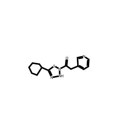 O=C(Cc1cccnc1)N1NN=C(C2CCCCC2)S1